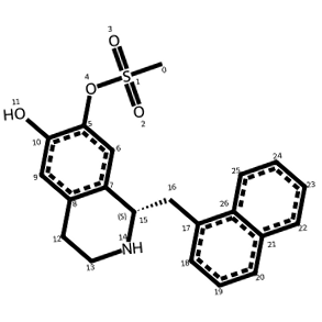 CS(=O)(=O)Oc1cc2c(cc1O)CCN[C@H]2Cc1cccc2ccccc12